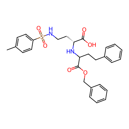 Cc1ccc(S(=O)(=O)NCC[C@@H](NC(CCc2ccccc2)C(=O)OCc2ccccc2)C(=O)O)cc1